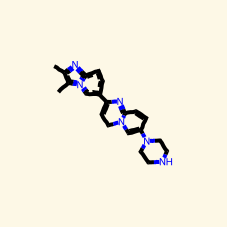 Cc1nc2ccc(C3=CCN4C=C(N5CCNCC5)C=CC4=N3)cn2c1C